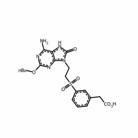 CCCCOc1nc(N)c2[nH]c(=O)n(CCS(=O)(=O)c3cccc(CC(=O)O)c3)c2n1